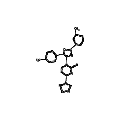 Cc1cccc(-c2nc(-n3ccc(-n4cncn4)nc3=O)c(-c3ccc(C(F)(F)F)cc3)o2)c1